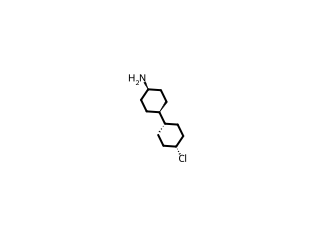 N[C@H]1CC[C@@H]([C@H]2CC[C@@H](Cl)CC2)CC1